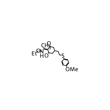 CCONC(C)=C1C(=O)CC(CCSc2ccc(OC)cc2)CC1=O